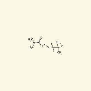 C=C(C)C(=O)OCCC(F)(F)C(C)(C)F